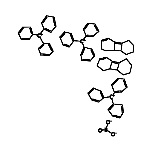 C1=CC2=C3CCCCC3C2CC1.C1=CC2=C3CCCCC3C2CC1.[O-]B([O-])[O-].c1ccc([C+](c2ccccc2)c2ccccc2)cc1.c1ccc([C+](c2ccccc2)c2ccccc2)cc1.c1ccc([C+](c2ccccc2)c2ccccc2)cc1